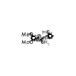 COc1cc(OC)cc(C(=O)NC(C)CNCc2ccccc2O)c1